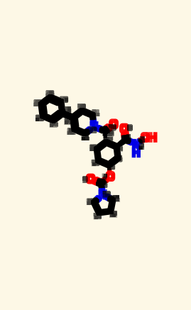 O=C(NO)[C@H]1C[C@H](OC(=O)N2CCCC2)CC[C@@H]1C(=O)N1CC=C(c2ccccc2)CC1